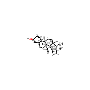 C[C@]12CC[C@H]3[C@@H](CCC4=CC(=O)C=C[C@@]43C)[C@@H]1[C@@H]1CC[C@@H]1[C@@H]2C#N